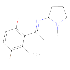 CCN1CCCC1/N=C(\C)c1c(O)ccc(Br)c1OC